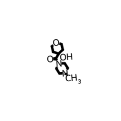 CN1CCN(C(=O)C2(O)CCOCC2)CC1